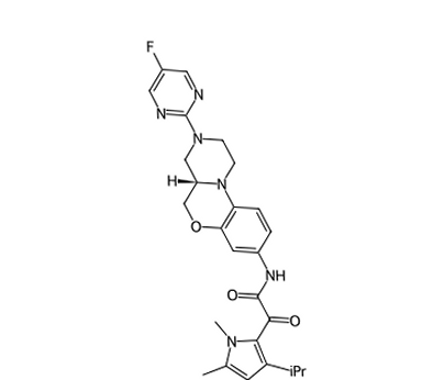 Cc1cc(C(C)C)c(C(=O)C(=O)Nc2ccc3c(c2)OC[C@@H]2CN(c4ncc(F)cn4)CCN32)n1C